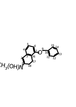 CN(O)C1=Cc2cccc(OCc3ccccc3)c2CC1